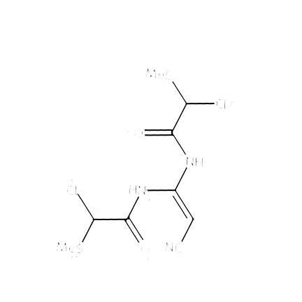 CSC(Cl)C(=O)NC(=CC#N)NC(=O)C(Cl)SC